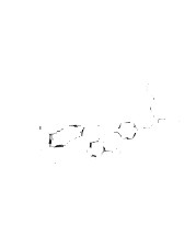 CCCCN(C)Cc1ccc(Cn2c(O)nnc2-c2cc(C(C)C)c(O)cc2O)cc1